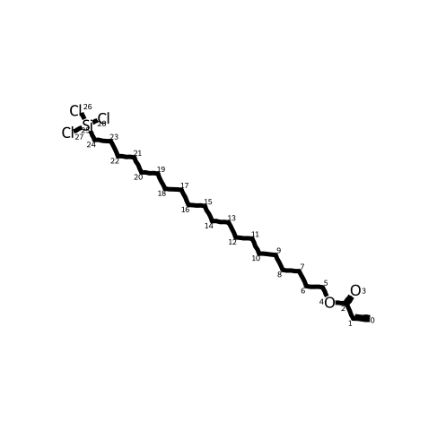 C=CC(=O)OCCCCCCCCCCCCCCCCCCCC[Si](Cl)(Cl)Cl